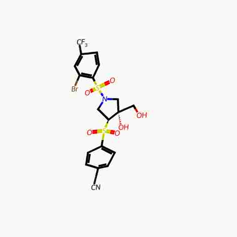 N#Cc1ccc(S(=O)(=O)[C@H]2CN(S(=O)(=O)c3ccc(C(F)(F)F)cc3Br)C[C@@]2(O)CO)cc1